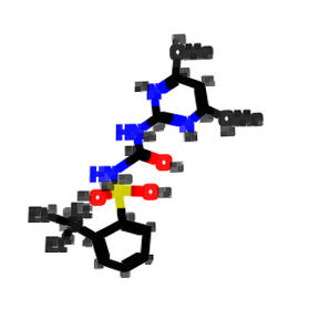 CC[Si](CC)(CC)c1ccccc1S(=O)(=O)NC(=O)Nc1nc(OC)cc(OC)n1